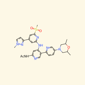 CC(=O)Nc1cc(Nc2cc(-c3ccn(C)n3)cc(S(C)(=O)=O)n2)c(-c2ccc(N3CC(C)OC(C)C3)cn2)cn1